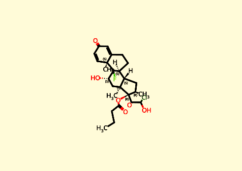 CCCC(=O)O[C@]1(C(=O)C(O)Cl)[C@H](C)C[C@H]2[C@@H]3CCC4=CC(=O)C=C[C@]4(C)[C@@]3(F)[C@@H](O)C[C@@]21C